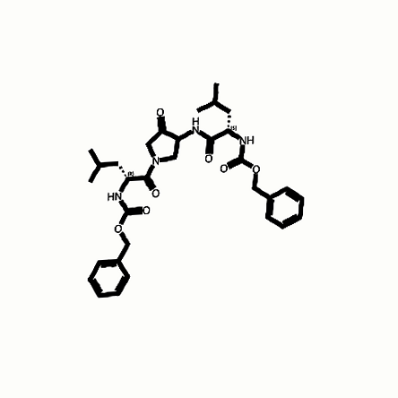 CC(C)C[C@H](NC(=O)OCc1ccccc1)C(=O)NC1CN(C(=O)[C@@H](CC(C)C)NC(=O)OCc2ccccc2)CC1=O